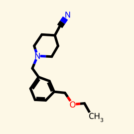 CCOCc1cccc(CN2CCC(C#N)CC2)c1